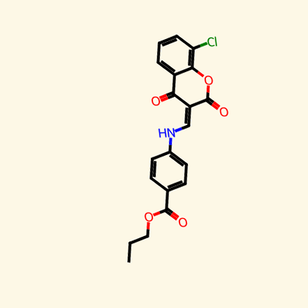 CCCOC(=O)c1ccc(NC=C2C(=O)Oc3c(Cl)cccc3C2=O)cc1